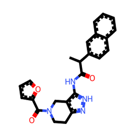 CC(C(=O)Nc1[nH]nc2c1CN(C(=O)c1ccco1)CC2)c1ccc2ccccc2c1